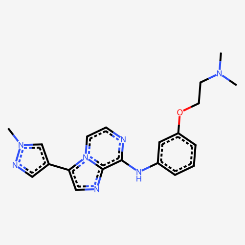 CN(C)CCOc1cccc(Nc2nccn3c(-c4cnn(C)c4)cnc23)c1